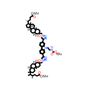 COC(=O)CC[C@@H](C)C(C)C1(C)CCC2[C@@H](CC[C@H]3C[C@](O)(Cn4cc(-c5ccc6c7ccc(-c8cn(C[C@]9(O)CCC%10(C)C%11CCC%12(C)C([C@H](C)CCC(=O)OC)CC[C@H]%12[C@@H]%11CC[C@@H]%10C9)nn8)cc7n(CCNC(=O)OC(C)(C)C)c6c5)nn4)CCC23C)C1